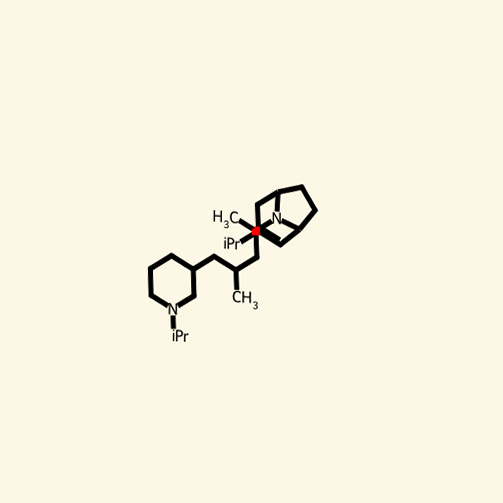 CC(CC1CCCN(C(C)C)C1)CC(C)N1C2C=C(C(C)C)CC1CC2